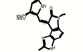 COc1cc[nH]c1/C=C1\C(=O)N(C)c2ccc3[nH]c(C)nc3c21